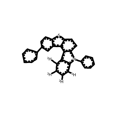 [2H]c1c([2H])c([2H])c2c(c1[2H])c1c3c(ccc1n2-c1ccccc1)sc1ccc(-c2ccccc2)cc13